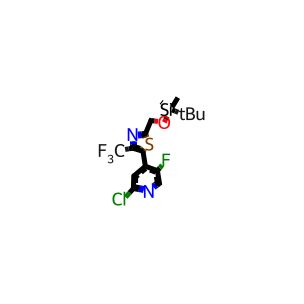 CC(C)(C)[Si](C)(C)OCc1nc(C(F)(F)F)c(-c2cc(Cl)ncc2F)s1